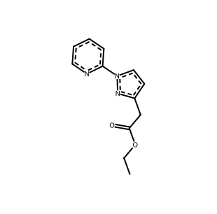 CCOC(=O)Cc1ccn(-c2ccccn2)n1